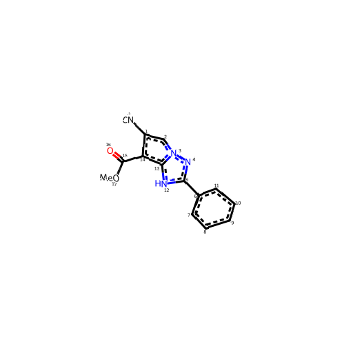 [C-]#[N+]c1cn2nc(-c3ccccc3)[nH]c2c1C(=O)OC